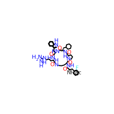 CC(=O)N[C@@H](Cc1ccccc1F)C(=O)NC1CCCNC(=O)C(CCCNC(=N)N)NC(=O)C(Cc2c[nH]c3ccccc23)NC(=O)[C@@H](CC2CCCCC2)NC(=O)C2CCCN2C1=O